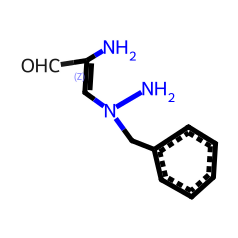 N/C(C=O)=C\N(N)Cc1ccccc1